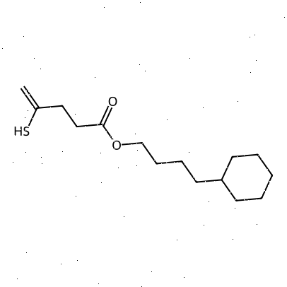 C=C(S)CCC(=O)OCCCCC1CCCCC1